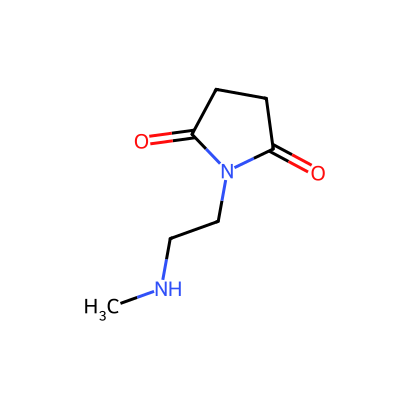 CNCCN1C(=O)CCC1=O